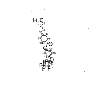 CCCCCC1CCC(C(=O)Oc2ccc(OC(F)(F)C(F)C(F)(F)F)cc2)CC1